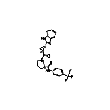 O=C(Nc1ccc(C(F)(F)F)cc1)[C@@H]1CCCN1C(=O)[C@H]1C[C@@H]1c1nc2ccccc2[nH]1